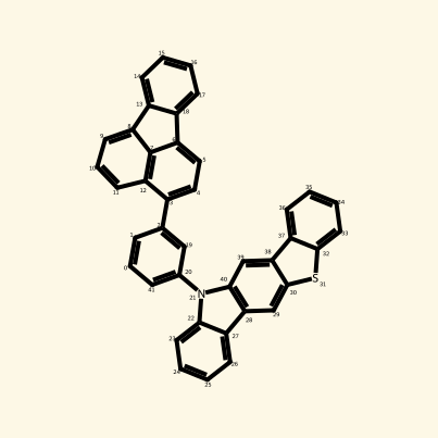 c1cc(-c2ccc3c4c(cccc24)-c2ccccc2-3)cc(-n2c3ccccc3c3cc4sc5ccccc5c4cc32)c1